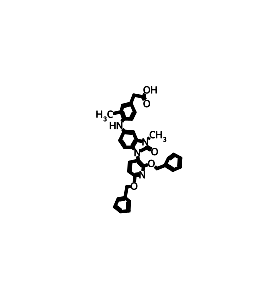 Cc1cc(CC(=O)O)ccc1Nc1ccc2c(c1)n(C)c(=O)n2-c1ccc(OCc2ccccc2)nc1OCc1ccccc1